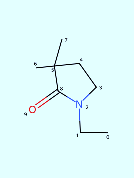 CCN1CCC(C)(C)C1=O